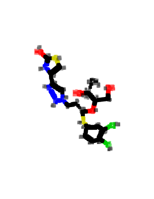 C[C@@H](O)C(CO)O[C@@H](CCn1cc(-c2csc(O)n2)nn1)Sc1ccc(Cl)c(Cl)c1